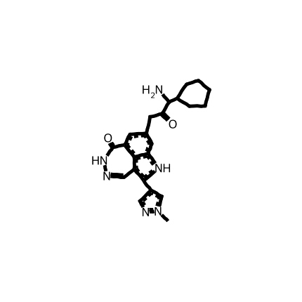 Cn1cc(-c2[nH]c3cc(CC(=O)C(N)C4CCCCC4)cc4c3c2C=NNC4=O)cn1